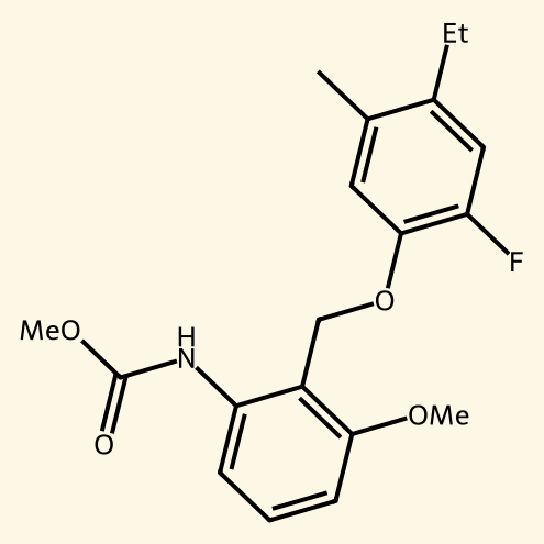 CCc1cc(F)c(OCc2c(NC(=O)OC)cccc2OC)cc1C